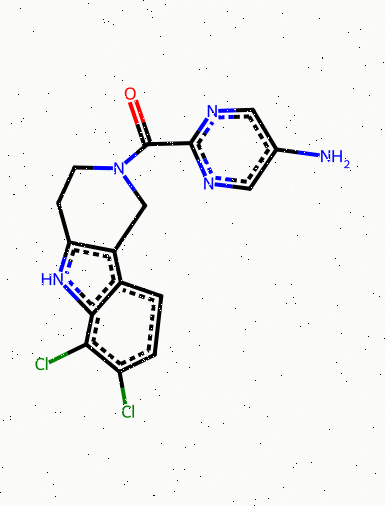 Nc1cnc(C(=O)N2CCc3[nH]c4c(Cl)c(Cl)ccc4c3C2)nc1